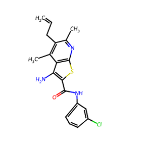 C=CCc1c(C)nc2sc(C(=O)Nc3cccc(Cl)c3)c(N)c2c1C